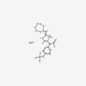 CC(=O)N(c1ccc(OC(F)(F)F)cc1)C1C(C)SC(=NC2CCCCCC2)N1C.Cl